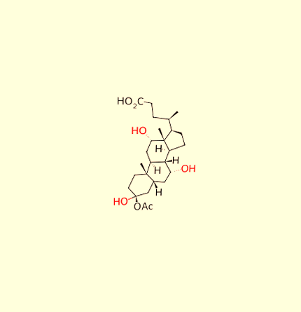 CC(=O)O[C@@]1(O)CC[C@@]2(C)[C@H](C[C@@H](O)[C@@H]3[C@@H]2C[C@H](O)[C@]2(C)[C@@H]([C@H](C)CCC(=O)O)CC[C@@H]32)C1